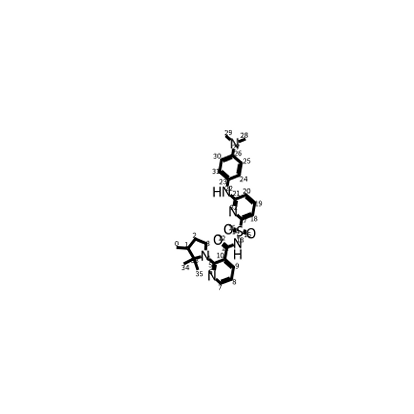 CC1CCN(c2ncccc2C(=O)NS(=O)(=O)c2cccc(Nc3ccc(N(C)C)cc3)n2)C1(C)C